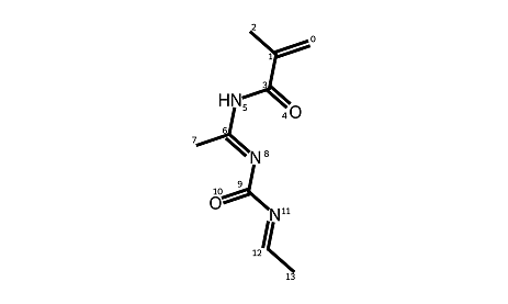 C=C(C)C(=O)NC(C)=NC(=O)N=CC